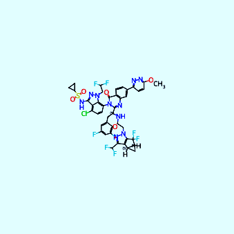 COc1ccc(-c2ccc3c(=O)n(-c4ccc(Cl)c5c(NS(=O)(=O)C6CC6)nn(CC(F)F)c45)c([C@H](Cc4cc(F)cc(F)c4)NC(=O)Cn4nc(C(F)F)c5c4C(F)(F)[C@@H]4C[C@H]54)nc3c2)nn1